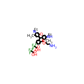 CC/N=c1\cc2oc3cc(NCC)c(C)cc3c(-c3ccccc3C(=O)OCCCN)c-2cc1C.O=C(O)C(F)(F)F.O=C(O)C(F)(F)F